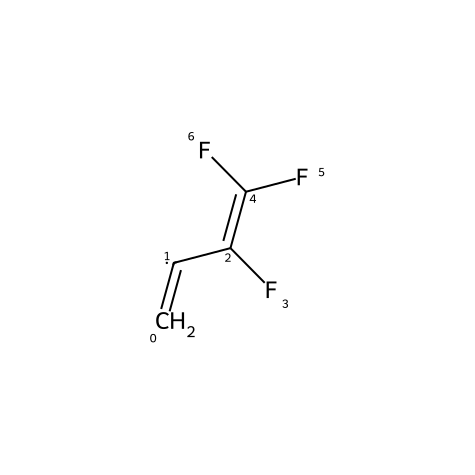 C=[C]C(F)=C(F)F